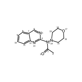 CC(=O)N(c1ncc2ccccc2n1)N1CCOCC1